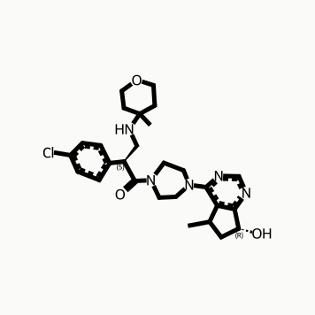 CC1C[C@@H](O)c2ncnc(N3CCN(C(=O)[C@H](CNC4(C)CCOCC4)c4ccc(Cl)cc4)CC3)c21